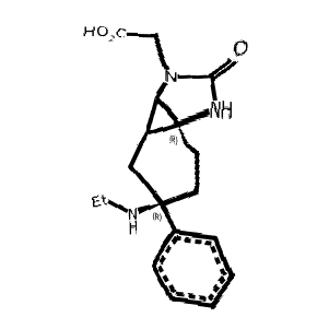 CCN[C@]1(c2ccccc2)CC[C@]23NC(=O)N(CC(=O)O)C2C3C1